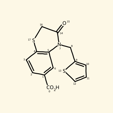 O=C(O)c1ccc2c(c1)N(Cc1cccs1)C(=O)CS2